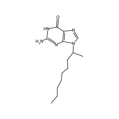 CCCCCCCC(C)n1cnc2c(=O)[nH]c(N)nc21